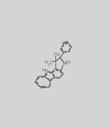 CC1(C)c2c(ccc3c2[nH]c2ccccc23)NC1c1ccccc1